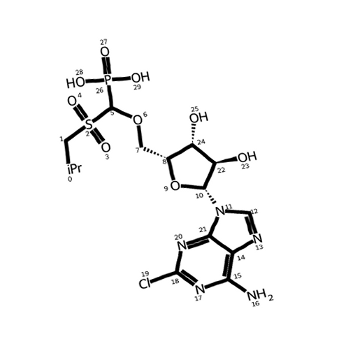 CC(C)CS(=O)(=O)C(OC[C@H]1O[C@@H](n2cnc3c(N)nc(Cl)nc32)[C@H](O)[C@H]1O)P(=O)(O)O